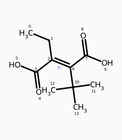 CC/C(C(=O)O)=C(\C(=O)O)C(C)(C)C